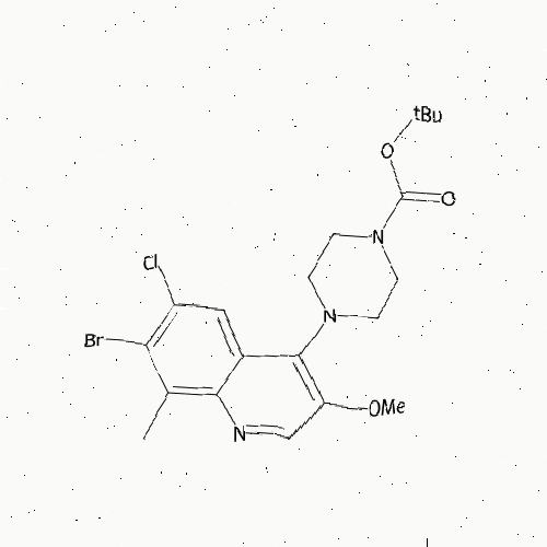 COc1cnc2c(C)c(Br)c(Cl)cc2c1N1CCN(C(=O)OC(C)(C)C)CC1